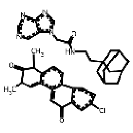 CC1C=c2c(ccc3c2=CC(=O)c2cc(Cl)ccc2-3)C(C)C1=O.O=C(Cn1cnc2ncncc21)NCCC12CC3CC(CC(C3)C1)C2